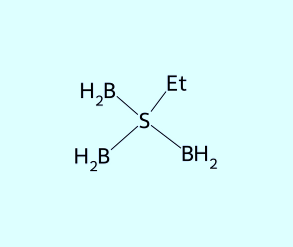 BS(B)(B)CC